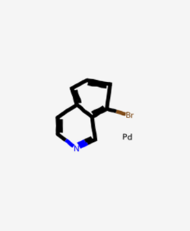 Brc1cccc2ccncc12.[Pd]